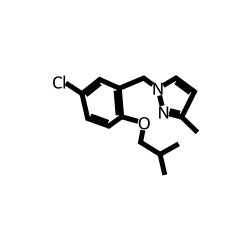 Cc1ccn(Cc2cc(Cl)ccc2OCC(C)C)n1